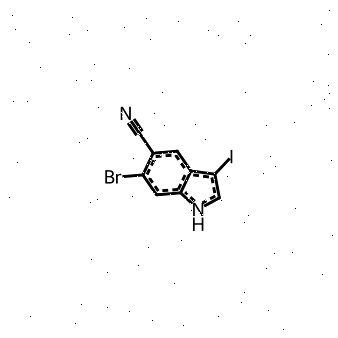 N#Cc1cc2c(I)c[nH]c2cc1Br